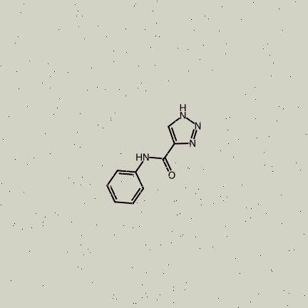 O=C(Nc1ccccc1)c1c[nH]nn1